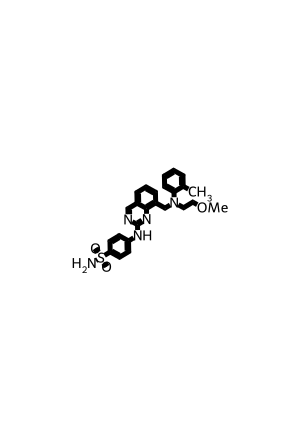 COCCN(Cc1cccc2cnc(Nc3ccc(S(N)(=O)=O)cc3)nc12)c1ccccc1C